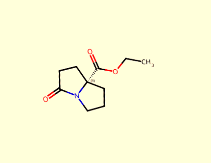 CCOC(=O)[C@]12CCCN1C(=O)CC2